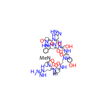 CNC(=O)[C@@H]1CCCN1C(=O)[C@H](CCCNC(=N)N)NC(=O)[C@H](CC(C)C)NC(=O)CCNC(=O)[C@H](Cc1ccc(O)cc1)NC(=O)[C@H](CO)NC(=O)[C@H](Cc1c[nH]c2ccccc12)NC(=O)[C@H](Cc1c[nH]cn1)NC(=O)[C@@H]1CCC(=O)N1